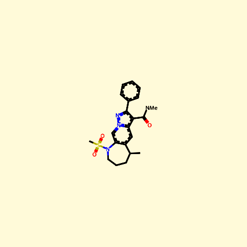 CNC(=O)c1c(-c2ccccc2)nn2cc3c(cc12)C(C)CCCN3S(C)(=O)=O